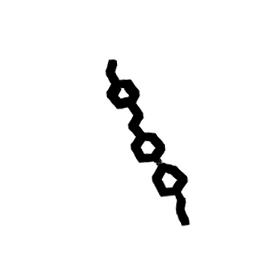 CCC[C@H]1CC[C@H](C2CCC(CCc3ccc(CC)cc3)CC2)CC1